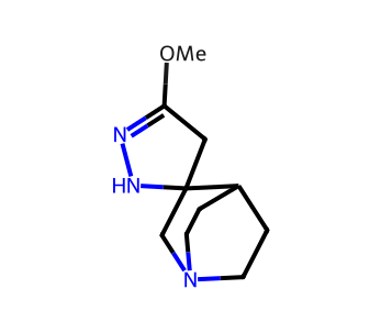 COC1=NNC2(C1)CN1CCC2CC1